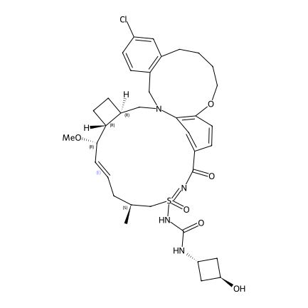 CO[C@H]1/C=C/C[C@H](C)CS(=O)(NC(=O)N[C@H]2C[C@H](O)C2)=NC(=O)c2ccc3c(c2)N(Cc2ccc(Cl)cc2CCCCO3)C[C@@H]2CC[C@H]21